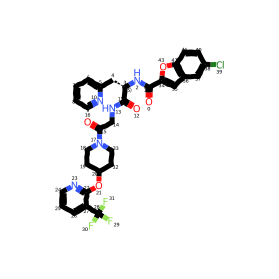 O=C(N[C@@H](Cc1ccccn1)C(=O)NCC(=O)N1CCC(Oc2ncccc2C(F)(F)F)CC1)c1cc2cc(Cl)ccc2o1